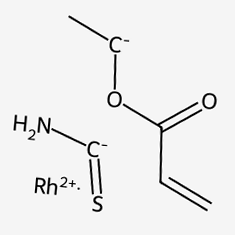 C=CC(=O)O[CH-]C.N[C-]=S.[Rh+2]